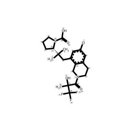 CC(C)(Cc1cc(Cl)cc2c1CN(C(=O)C(C)(O)C(F)(F)F)CC2)[C@@H]1CCCN1C(=O)O